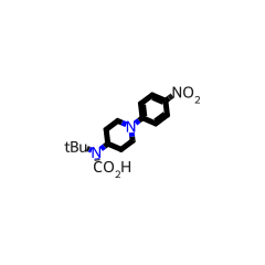 CC(C)(C)N(C(=O)O)C1CCN(c2ccc([N+](=O)[O-])cc2)CC1